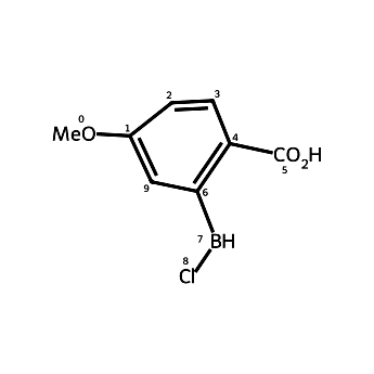 COc1ccc(C(=O)O)c(BCl)c1